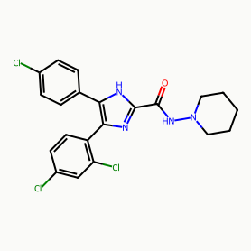 O=C(NN1CCCCC1)c1nc(-c2ccc(Cl)cc2Cl)c(-c2ccc(Cl)cc2)[nH]1